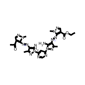 CCOC(=O)c1cnn(C)c1/N=N/c1c(C)nn(-c2cc(-n3nc(C)c(/N=N/c4c(C(C)=O)cnn4C)c3N)ncn2)c1N